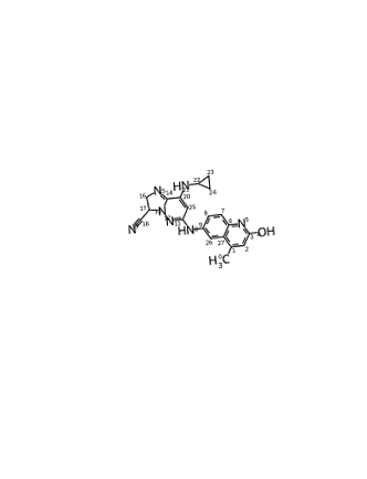 Cc1cc(O)nc2ccc(NC3=NN4C(=NCC4C#N)C(NC4CC4)=C3)cc12